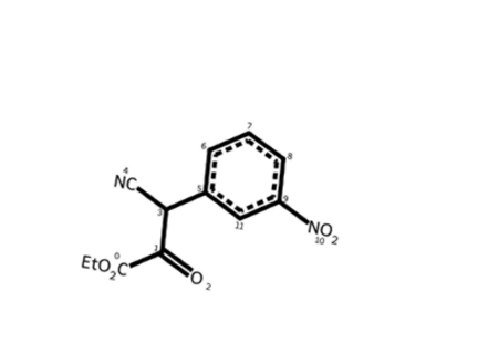 CCOC(=O)C(=O)C(C#N)c1cccc([N+](=O)[O-])c1